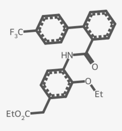 CCOC(=O)Cc1ccc(NC(=O)c2ccccc2-c2ccc(C(F)(F)F)cc2)c(OCC)c1